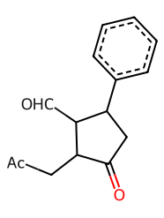 CC(=O)CC1C(=O)CC(c2ccccc2)C1C=O